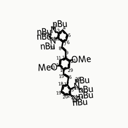 CCCCN(CCCC)c1cccc(/C=C/c2cc(OC)c(/C=C/c3cccc(N(CCCC)CCCC)c3N(CCCC)CCCC)cc2OC)c1N(CCCC)CCCC